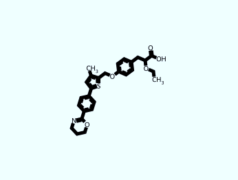 CCOC(Cc1ccc(OCc2sc(-c3ccc(C4=NCCCO4)cc3)cc2C)cc1)C(=O)O